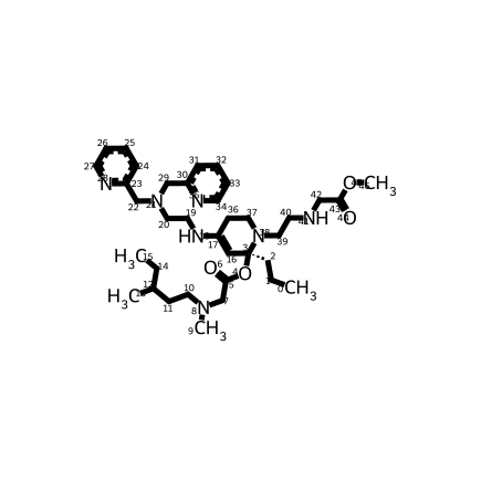 CCC[C@]1(OC(=O)CN(C)CCC(C)CC)C=C(NCCN(Cc2ccccn2)Cc2ccccn2)CCN1CCNCC(=O)OC